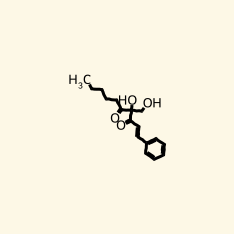 CCCCCC(=O)C(O)(CO)C(=O)C=Cc1ccccc1